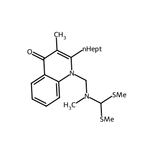 CCCCCCCc1c(C)c(=O)c2ccccc2n1CN(C)C(SC)SC